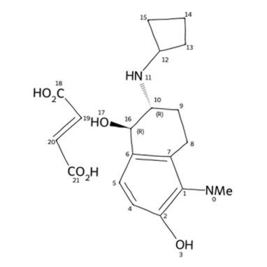 CNc1c(O)ccc2c1CC[C@@H](NC1CCC1)[C@@H]2O.O=C(O)C=CC(=O)O